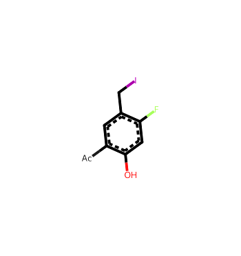 CC(=O)c1cc(CI)c(F)cc1O